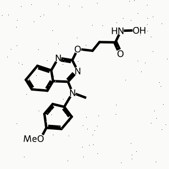 COc1ccc(N(C)c2nc(OCCC(=O)NO)nc3ccccc23)cc1